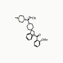 COc1ccccc1C(=O)NCC1(c2ccccc2)CCN(/C(=N\C#N)N2CCN(C)CC2)CC1